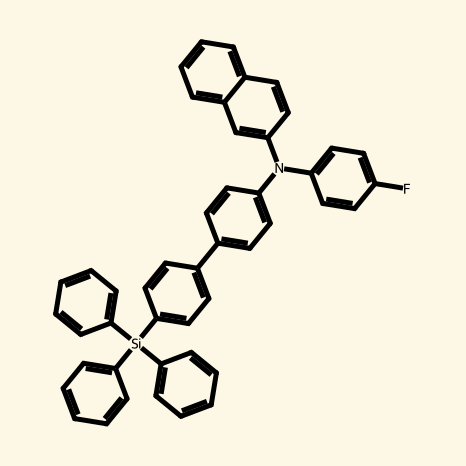 Fc1ccc(N(c2ccc(-c3ccc([Si](c4ccccc4)(c4ccccc4)c4ccccc4)cc3)cc2)c2ccc3ccccc3c2)cc1